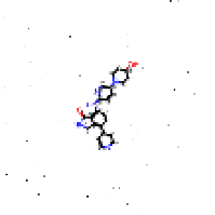 O=C1NCc2c(-c3ccncc3)ccc(Nc3ccc(N4CCC(O)CC4)cn3)c21